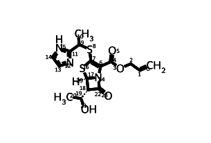 C=CCOC(=O)C1=C(SC(C)c2ncc[nH]2)S[C@@H]2[C@@H](C(C)O)C(=O)N12